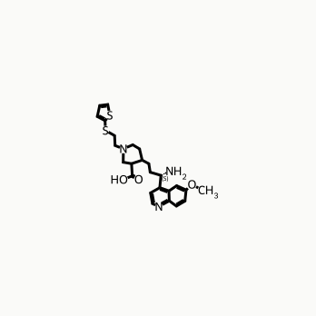 COc1ccc2nccc([C@@H](N)CCC3CCN(CCSc4cccs4)CC3C(=O)O)c2c1